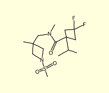 CC(C)C1(C(=O)N(C)CC2(C)CN(S(C)(=O)=O)C2)CC(F)(F)C1